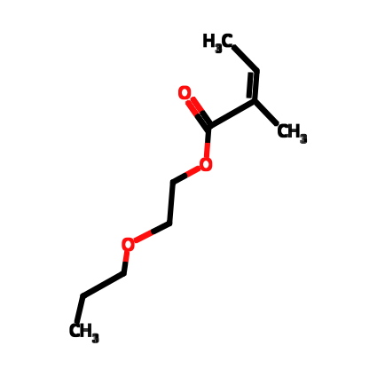 CC=C(C)C(=O)OCCOCCC